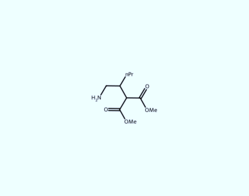 CCCC(CN)C(C(=O)OC)C(=O)OC